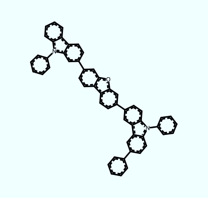 c1ccc(-c2ccc3c(c2)c2cc(-c4ccc5c(c4)oc4cc(-c6ccc7c8ccccc8n(-c8ccccc8)c7c6)ccc45)ccc2n3-c2ccccc2)cc1